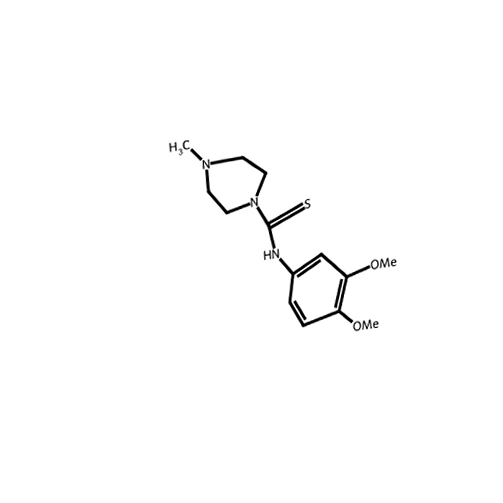 COc1ccc(NC(=S)N2CCN(C)CC2)cc1OC